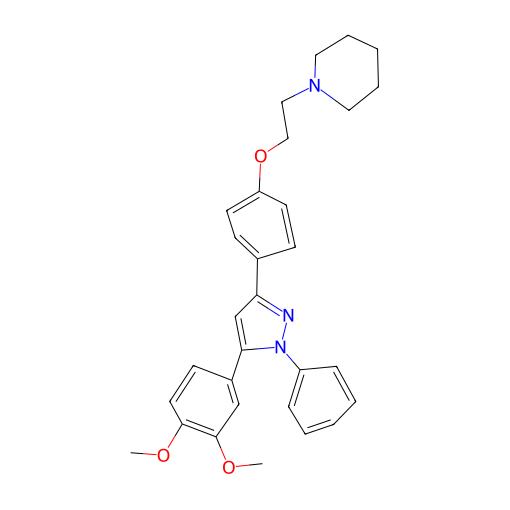 COc1ccc(-c2cc(-c3ccc(OCCN4CCCCC4)cc3)nn2-c2ccccc2)cc1OC